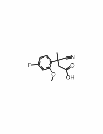 COc1cc(F)ccc1C(C)(C#N)CC(=O)O